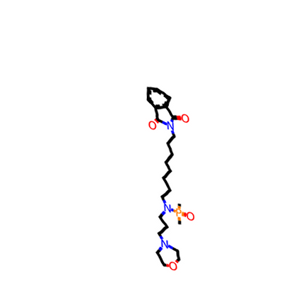 CP(C)(=O)N(CCCCCCCCN1C(=O)c2ccccc2C1=O)CCCN1CCOCC1